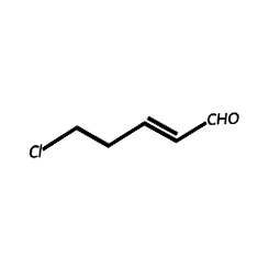 O=CC=CCCCl